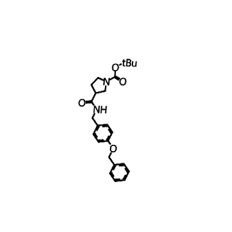 CC(C)(C)OC(=O)N1CCC(C(=O)NCc2ccc(OCc3ccccc3)cc2)C1